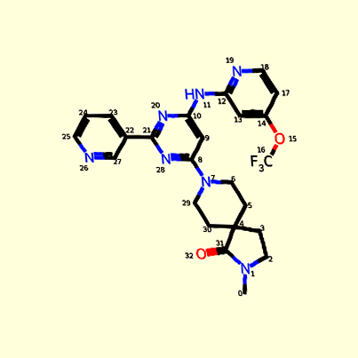 CN1CCC2(CCN(c3cc(Nc4cc(OC(F)(F)F)ccn4)nc(-c4cccnc4)n3)CC2)C1=O